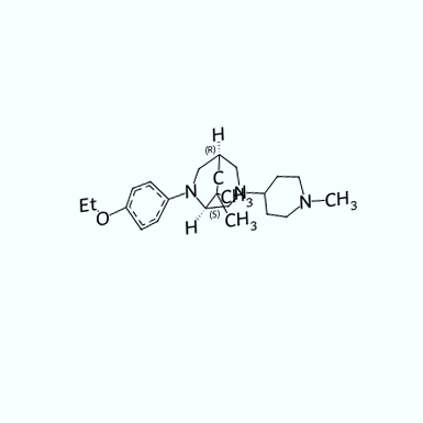 CCOc1ccc(N2C[C@H]3CN(C4CCN(C)CC4)C[C@@H]2C(C)(C)C3)cc1